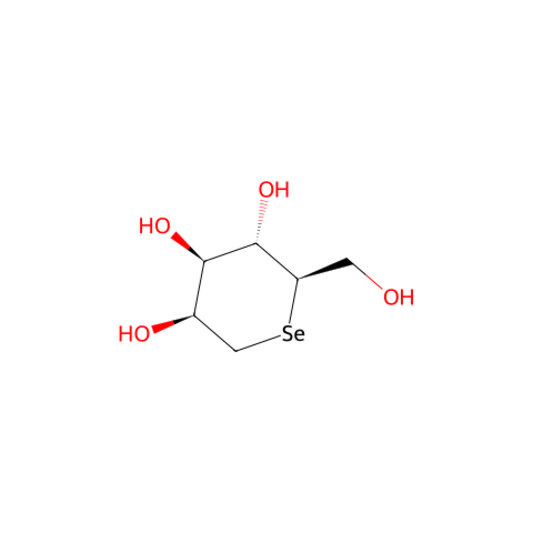 OC[C@H]1[Se]C[C@@H](O)[C@@H](O)[C@@H]1O